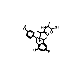 COc1ccc(OCc2c(Cl)cc(F)cc2[C@H](C)NC(C)C(=O)N[C@@H](C)C(=O)O)cc1